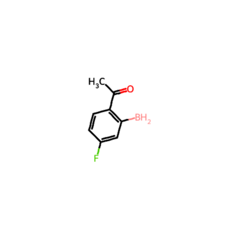 Bc1cc(F)ccc1C(C)=O